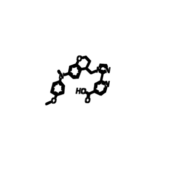 COc1ccc(N(C)c2ccc3c(c2)OCCC3Cn2ccnc2-c2cc(C(=O)O)ccn2)cc1